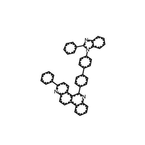 c1ccc(-c2ccc3c(ccc4c5ccccc5nc(-c5ccc(-c6ccc(-n7c(-c8ccccc8)nc8ccccc87)cc6)cc5)c34)n2)cc1